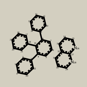 c1ccc(-c2cccc(-c3ccccc3)c2-c2ccccc2)cc1.c1cnc2ncccc2c1